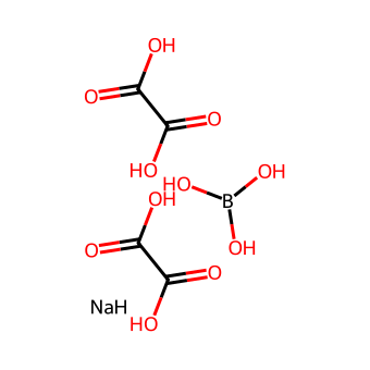 O=C(O)C(=O)O.O=C(O)C(=O)O.OB(O)O.[NaH]